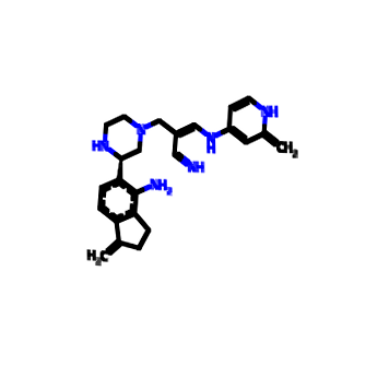 C=C1C=C(N/C=C(\C=N)CN2CCN[C@H](c3ccc4c(c3N)CCC4=C)C2)C=CN1